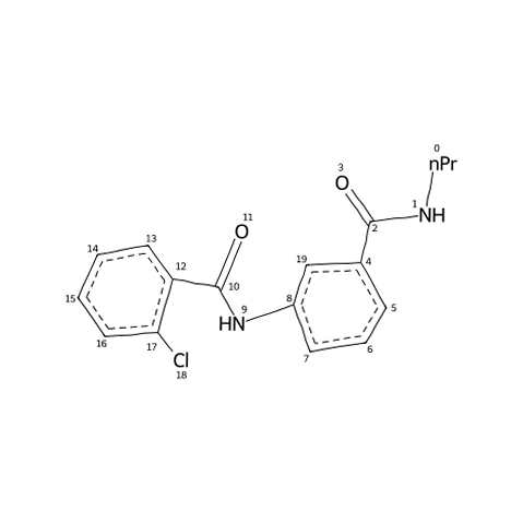 CCCNC(=O)c1cccc(NC(=O)c2ccccc2Cl)c1